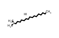 CCCCCCCCCCCCCCCC[Si](C)C.I